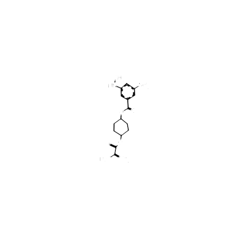 C=C(C)C(=O)OC1CCC(OC(=O)c2cc(N)cc(NC)c2)CC1